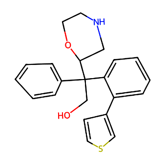 OCC(c1ccccc1)(c1ccccc1-c1ccsc1)C1CNCCO1